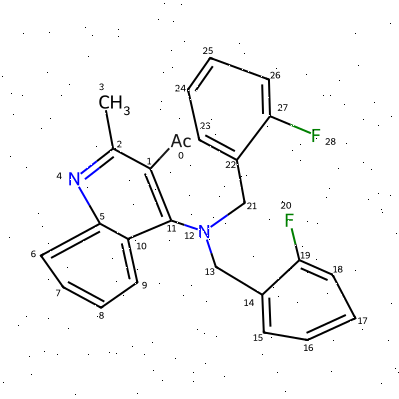 CC(=O)c1c(C)nc2ccccc2c1N(Cc1ccccc1F)Cc1ccccc1F